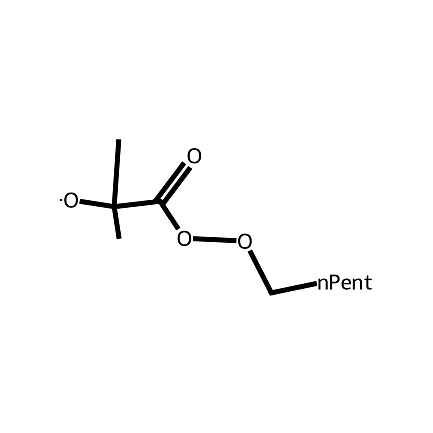 CCCCCCOOC(=O)C(C)(C)[O]